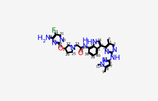 Cc1cnc(Nc2cc(C)n(C)n2)nc1-c1c[nH]c2c(NC(=O)CN3CCC(Oc4ncc(F)c(N)n4)C3)cccc12